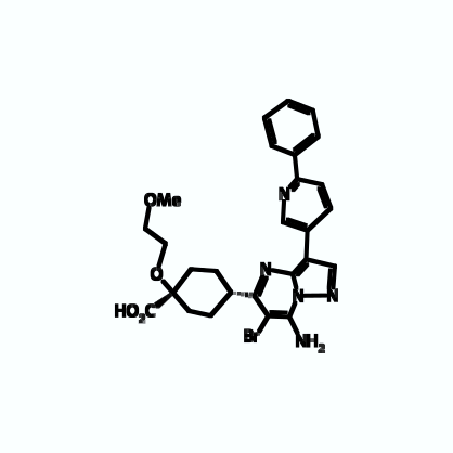 COCCO[C@]1(C(=O)O)CC[C@H](c2nc3c(-c4ccc(-c5ccccc5)nc4)cnn3c(N)c2Br)CC1